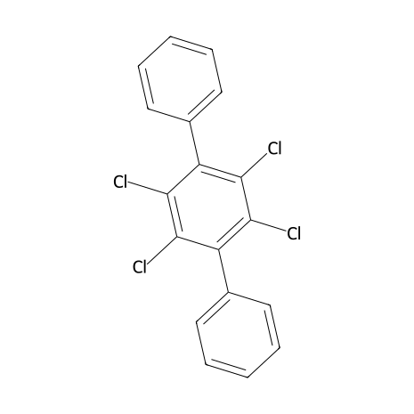 Clc1c(Cl)c(-c2ccccc2)c(Cl)c(Cl)c1-c1ccccc1